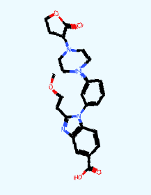 COCCc1nc2cc(C(=O)O)ccc2n1-c1cccc(N2CCN(C3CCOC3=O)CC2)c1